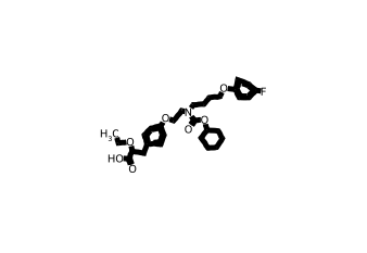 CCOC(Cc1ccc(OCCN(CCCCOc2ccc(F)cc2)C(=O)OC2CCCCC2)cc1)C(=O)O